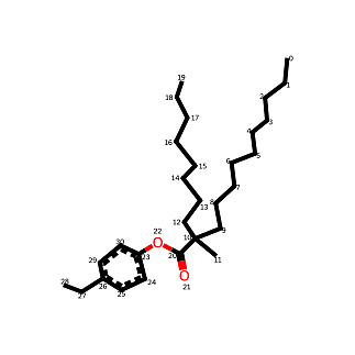 CCCCCCCCCCC(C)(CCCCCCCC)C(=O)Oc1ccc(CC)cc1